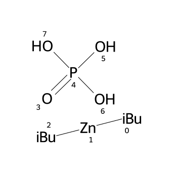 CC[CH](C)[Zn][CH](C)CC.O=P(O)(O)O